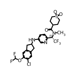 CN(C(=O)C1CCS(=O)(=O)CC1)[C@@H](c1ccc(NC2Cc3cc(Cl)c(OC(F)F)cc3C2)cn1)C(F)(F)F